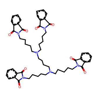 O=C1c2ccccc2C(=O)N1CCCCCN(CCCCCN1C(=O)c2ccccc2C1=O)CCCCN(CCCCCN1C(=O)c2ccccc2C1=O)CCCCCN1C(=O)c2ccccc2C1=O